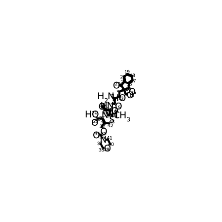 CO[C@@]1(NC(=O)C(N)CCC2(C(=O)O)C(=O)c3ccccc3C2=O)C(=O)N2C(C(=O)O)=C(COC(=O)N3CCOCC3)CS[C@H]21